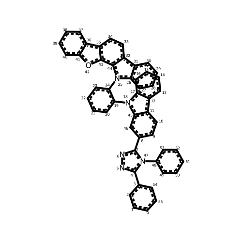 c1ccc(-c2nnc(-c3ccc4c5ccccc5n(-c5ccccc5-n5c6ccccc6c6ccc7c8ccccc8oc7c65)c4c3)n2-c2ccccc2)cc1